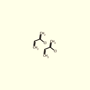 C=CC(=C)Cl.C=CC(=C)Cl